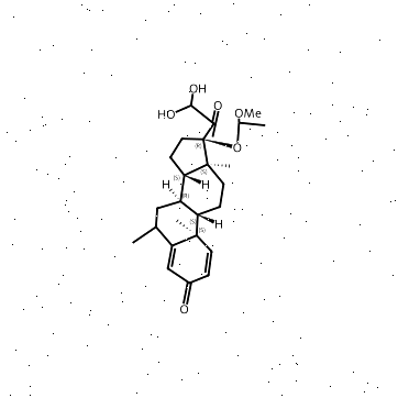 COC(C)O[C@]1(C(=O)C(O)O)CC[C@H]2[C@@H]3CC(C)C4=CC(=O)C=C[C@]4(C)[C@H]3CC[C@@]21C